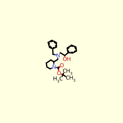 CC(C)(C)OC(=O)N1CCCCC1CN(Cc1ccccc1)CC(O)c1ccccc1